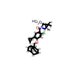 CC1(C)C2[C@@H](C(=O)O)N(C(=O)c3cc(C4CC4)c(OCC45CC6CC(CC(C6)C4)C5)cc3F)C[C@@H]21